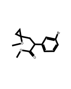 COC(=O)C(CC1(OC)CC1)c1cccc(Br)c1